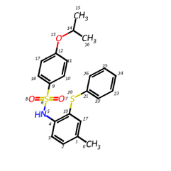 Cc1ccc(NS(=O)(=O)c2ccc(OC(C)C)cc2)c(Sc2ccccc2)c1